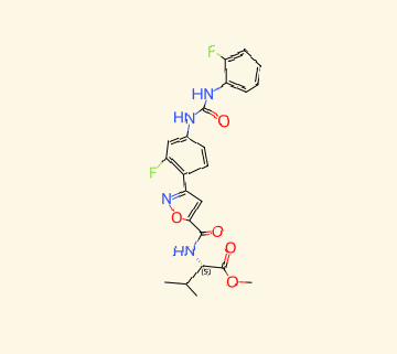 COC(=O)[C@@H](NC(=O)c1cc(-c2ccc(NC(=O)Nc3ccccc3F)cc2F)no1)C(C)C